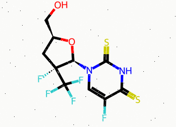 OC[C@@H]1C[C@](F)(C(F)(F)F)[C@H](n2cc(F)c(=S)[nH]c2=S)O1